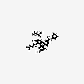 Cc1cc(O)ccc1-c1ccc(C(=O)NC2CCCCC2)nc1-c1ccc(Cl)c(OCCCN(C)C)c1.Cl.O=C(O)O